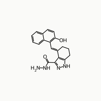 NNC(=O)c1n[nH]c2c1C(=Cc1c(O)ccc3ccccc13)CCC2